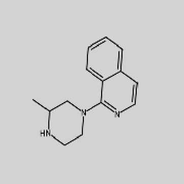 CC1CN(c2nccc3ccccc23)CCN1